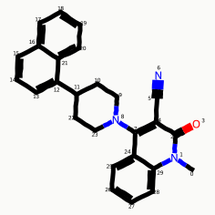 Cn1c(=O)c(C#N)c(N2CCC(c3cccc4ccccc34)CC2)c2ccccc21